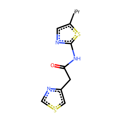 CC(C)c1cnc(NC(=O)Cc2cscn2)s1